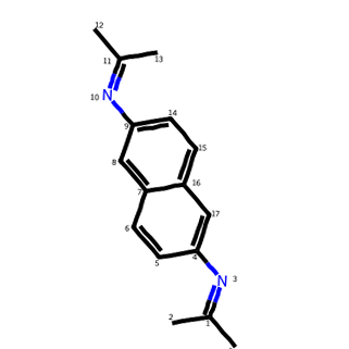 CC(C)=Nc1ccc2cc(N=C(C)C)ccc2c1